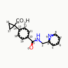 O=C(NCc1ccccn1)c1ccc(C2(C(=O)O)CC2)cc1